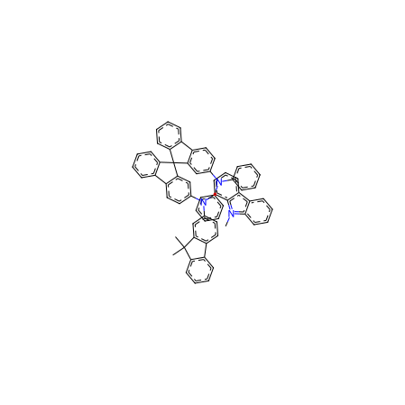 Cn1c2ccccc2c2cccc(N(c3ccc4c(c3)C(C)(C)c3ccccc3-4)c3ccc4c(c3)C3(c5ccccc5-c5ccc(N(c6ccccc6)c6ccccc6)cc53)c3ccccc3-4)c21